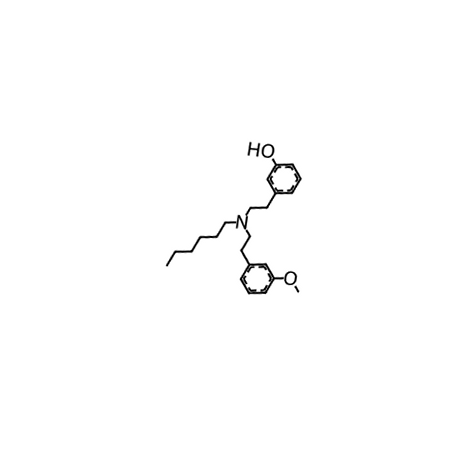 CCCCCCN(CCc1cccc(O)c1)CCc1cccc(OC)c1